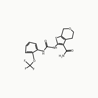 NC(=O)c1c(NC(=O)Nc2ccccc2OC(F)(F)F)sc2c1CCOC2